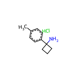 Cc1ccc(C2(N)CCC2)cc1.Cl